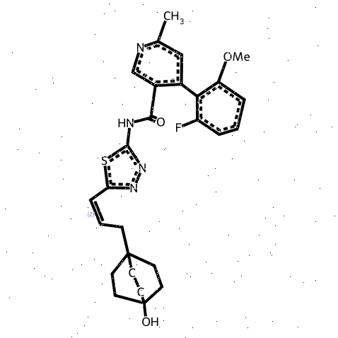 COc1cccc(F)c1-c1cc(C)ncc1C(=O)Nc1nnc(/C=C\CC23CCC(O)(CC2)CC3)s1